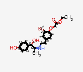 CCOC(=O)COc1ccc(CCN[C@@H](C)[C@H](O)c2ccc(O)cc2)cc1Br